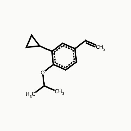 C=[C]c1ccc(OC(C)C)c(C2CC2)c1